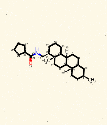 C[C@H]1CC[C@H]2C(CC[C@@H]3C2CC[C@@]2(C)C3CCC[C@@H]2CNC(=O)C2CCCC2)C1